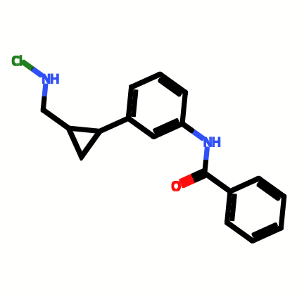 O=C(Nc1cccc(C2CC2CNCl)c1)c1ccccc1